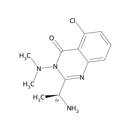 C[C@H](N)c1nc2cccc(Cl)c2c(=O)n1N(C)C